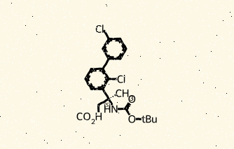 CC(C)(C)OC(=O)N[C@@](C)(CC(=O)O)c1cccc(-c2cccc(Cl)c2)c1Cl